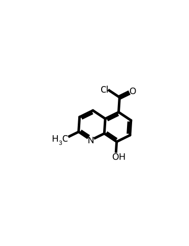 Cc1ccc2c(C(=O)Cl)ccc(O)c2n1